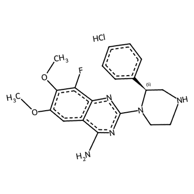 COc1cc2c(N)nc(N3CCNC[C@@H]3c3ccccc3)nc2c(F)c1OC.Cl